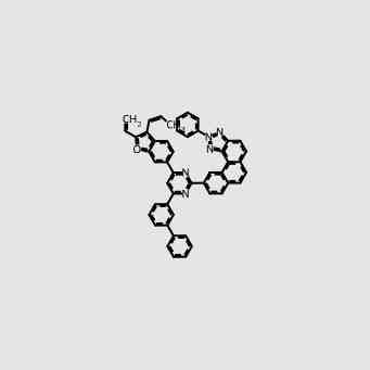 C=Cc1oc2cc(-c3cc(-c4cccc(-c5ccccc5)c4)nc(-c4ccc5ccc6ccc7nn(-c8ccccc8)nc7c6c5c4)n3)ccc2c1/C=C\C